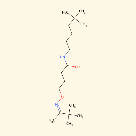 C/C(=N/OCCCC(O)NCCCCC(C)(C)C)C(C)(C)C